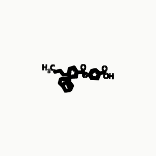 CCCCc1ccc(C(=O)Oc2ccc(C(=O)O)cc2)cc1C12CC3CC(CC(C3)C1)C2